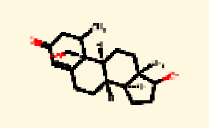 CC1CC(=O)C=C2CC[C@@H]3[C@@H](CC[C@]4(C)C(O)CC[C@@H]34)[C@]21CO